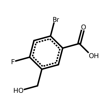 O=C(O)c1cc(CO)c(F)cc1Br